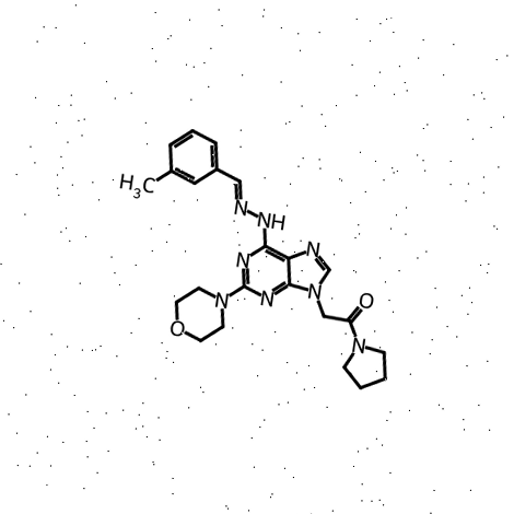 Cc1cccc(C=NNc2nc(N3CCOCC3)nc3c2ncn3CC(=O)N2CCCC2)c1